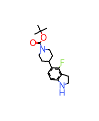 CC(C)(C)OC(=O)N1CCC(c2ccc3c(c2F)CCN3)CC1